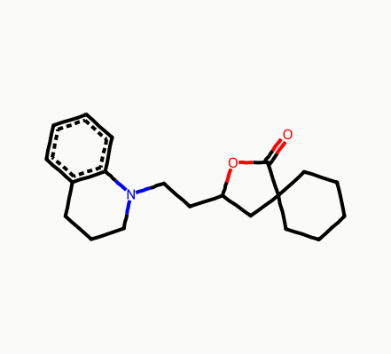 O=C1OC(CCN2CCCc3ccccc32)CC12CCCCC2